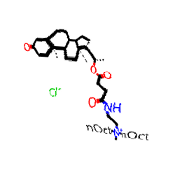 CCCCCCCC[N+](C)(CCCCCCCC)CCNC(=O)CCC(=O)O[C@@H](C)[C@H]1CCC2C3CCC4=CC(=O)CC[C@]4(C)C3CC[C@@]21C.[Cl-]